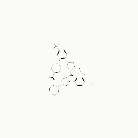 COC[C@@H]1C[C@@H](c2ccc(C(F)(F)F)cc2N2CCC(C(=O)O)CC2)CN1C(=O)[C@]1(F)CN(C2CCOCC2)C[C@H]1c1ccc(OC)cc1